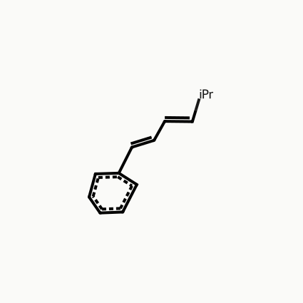 [CH2]C(C)C=CC=Cc1ccccc1